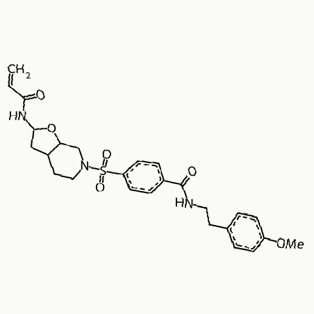 C=CC(=O)NC1CC2CCN(S(=O)(=O)c3ccc(C(=O)NCCc4ccc(OC)cc4)cc3)CC2O1